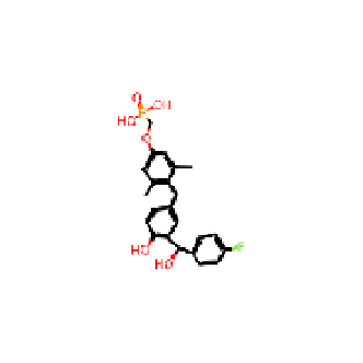 Cc1cc(OCP(=O)(O)O)cc(C)c1Cc1ccc(O)c(C(O)c2ccc(F)cc2)c1